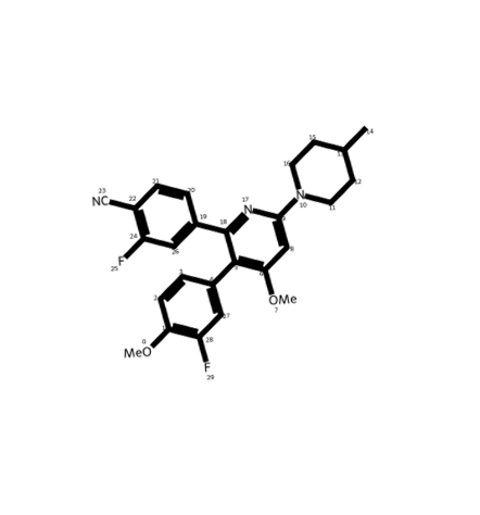 COc1ccc(-c2c(OC)cc(N3CCC(C)CC3)nc2-c2ccc(C#N)c(F)c2)cc1F